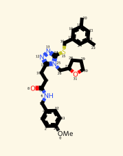 COc1ccc(CNC(=O)CCc2nnc(SCc3cc(C)cc(C)c3)n2CC2CCCO2)cc1